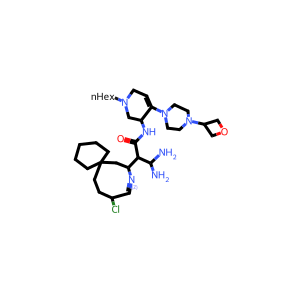 CCCCCCN1CC=C(N2CCN(C3COC3)CC2)C(NC(=O)C(C(N)N)C2CC3(CCCCC3)CCC(Cl)/C=N\2)C1